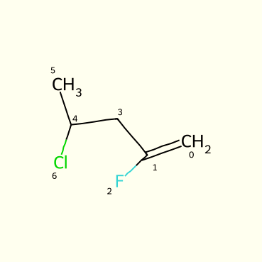 C=C(F)CC(C)Cl